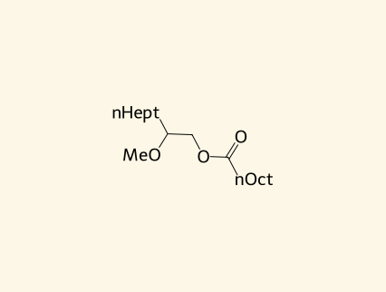 CCCCCCCCC(=O)OCC(CCCCCCC)OC